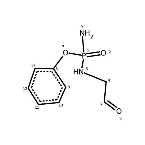 NP(=O)(NCC=O)Oc1ccccc1